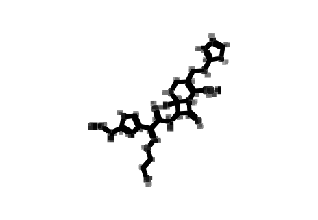 O=CNc1nc(C(=NOCCBr)C(=O)NC2C(=O)N3C(C(=O)O)=C(CSc4nncs4)CS[C@@H]23)cs1